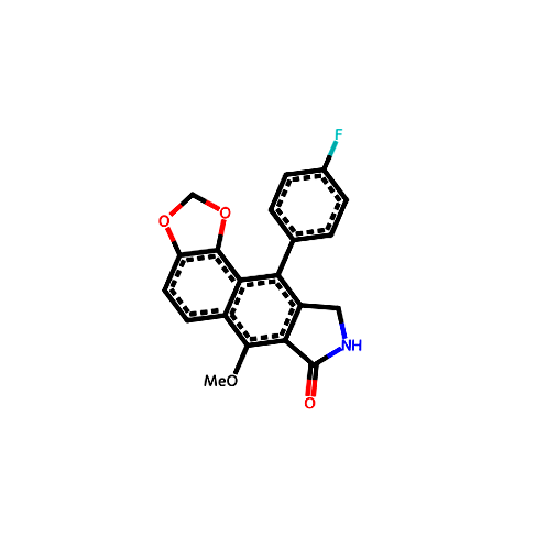 COc1c2c(c(-c3ccc(F)cc3)c3c4c(ccc13)OCO4)CNC2=O